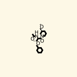 COC[C@H]1CCCN(C(=O)[C@@H](NC(C)=O)[C@@H](C)OCC2CCCCC2)C1